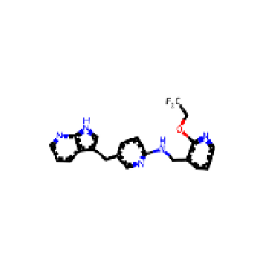 FC(F)(F)COc1ncccc1CNc1ccc(Cc2c[nH]c3ncccc23)cn1